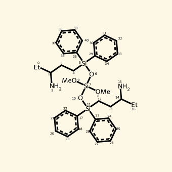 CCC(N)CC[Si](O[Si](OC)(OC)O[Si](CCC(N)CC)(c1ccccc1)c1ccccc1)(c1ccccc1)c1ccccc1